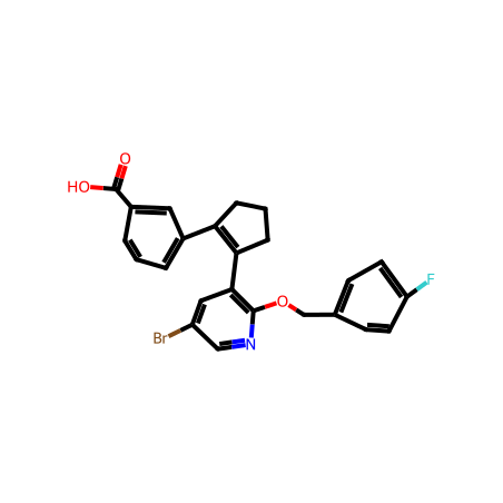 O=C(O)c1cccc(C2=C(c3cc(Br)cnc3OCc3ccc(F)cc3)CCC2)c1